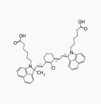 CC1(/C=C/C2=C(Cl)C(=C/C=c3\c4cccc5cccc(c54)n3CCCCCC(=O)O)/CCC2)c2cccc3cccc(c23)N1CCCCCC(=O)O